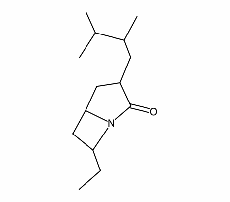 CCC1CC2CC(CC(C)C(C)C)C(=O)N12